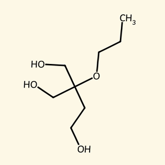 CCCOC(CO)(CO)CCO